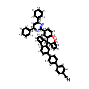 N#Cc1ccc(-c2ccc(-c3ccc4c(c3)C3(c5ccccc5Oc5ccc(-c6nc(-c7ccccc7)cc(-c7ccccc7)n6)cc53)c3ccccc3-4)cc2)cc1